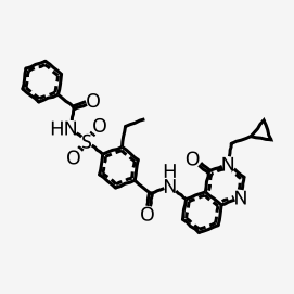 CCc1cc(C(=O)Nc2cccc3ncn(CC4CC4)c(=O)c23)ccc1S(=O)(=O)NC(=O)c1ccccc1